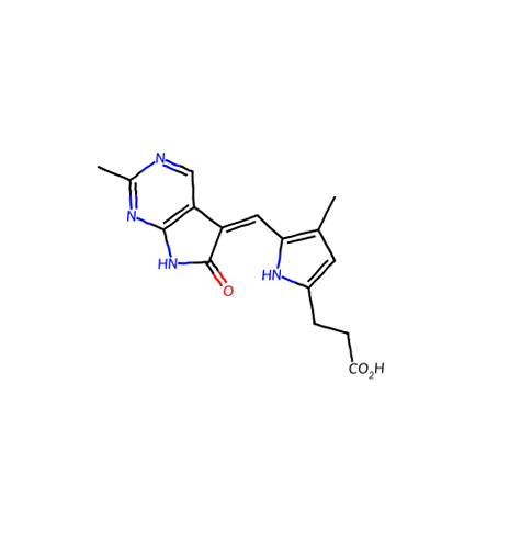 Cc1ncc2c(n1)NC(=O)C2=Cc1[nH]c(CCC(=O)O)cc1C